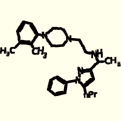 CCCc1cc(C(C)NCCN2CCN(c3cccc(C)c3C)CC2)nn1-c1ccccc1